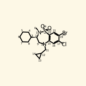 CN1[C@H](C2CCCCC2)CN(CC2CC2)c2cc(Cl)c(Br)cc2S1(=O)=O